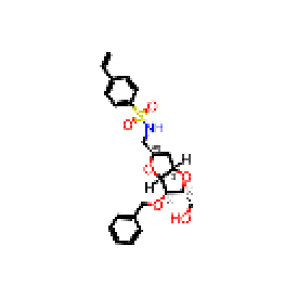 C=Cc1ccc(S(=O)(=O)NC[C@H]2C[C@@H]3O[C@H](CO)[C@@H](OCc4ccccc4)[C@@H]3O2)cc1